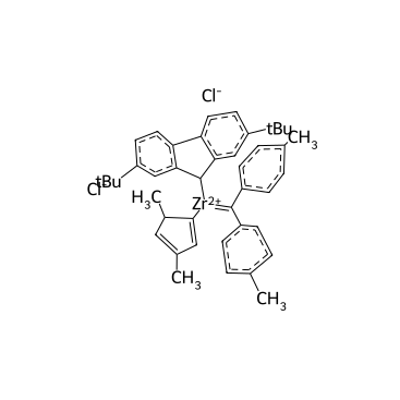 CC1=CC(C)[C]([Zr+2](=[C](c2ccc(C)cc2)c2ccc(C)cc2)[CH]2c3cc(C(C)(C)C)ccc3-c3ccc(C(C)(C)C)cc32)=C1.[Cl-].[Cl-]